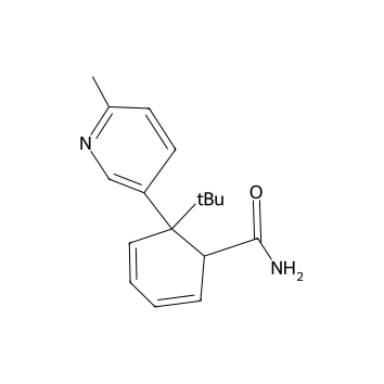 Cc1ccc(C2(C(C)(C)C)C=CC=CC2C(N)=O)cn1